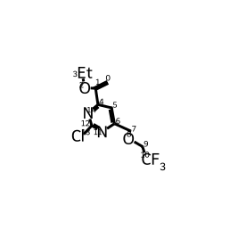 C=C(OCC)c1cc(COCC(F)(F)F)nc(Cl)n1